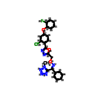 Cn1nnnc1/C(=N\OCc1nnc(-c2ccc(Oc3ccccc3F)cc2Cl)o1)c1ccccc1